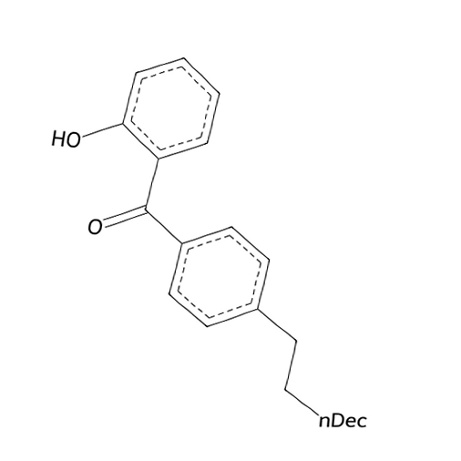 CCCCCCCCCCCCc1ccc(C(=O)c2ccccc2O)cc1